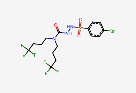 O=C(NNS(=O)(=O)c1ccc(Br)cc1)N(CCCC(F)(F)F)CCCC(F)(F)F